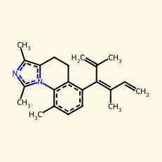 C=C/C(C)=C(\C(=C)C)c1ccc(C)c2c1CCc1c(C)nc(C)n1-2